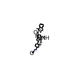 CNc1cc(C(=O)N2CCc3ccccc3C2C)nc2cc(-c3ccc(/C=C/C=O)cc3F)nn12